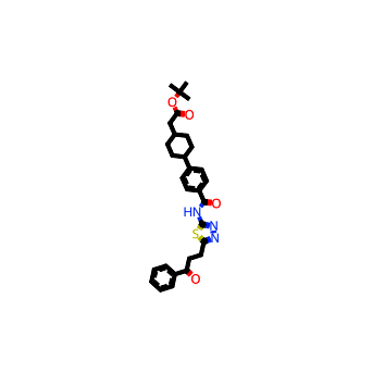 CC(C)(C)OC(=O)CC1CCC(c2ccc(C(=O)Nc3nnc(CCC(=O)c4ccccc4)s3)cc2)CC1